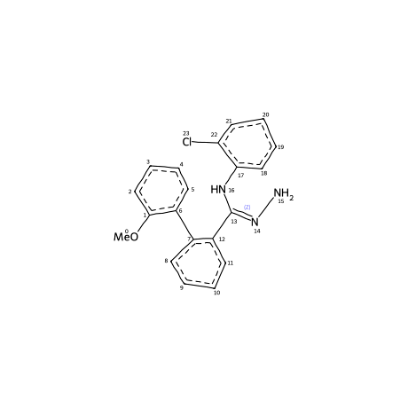 COc1ccccc1-c1ccccc1/C(=N/N)Nc1ccccc1Cl